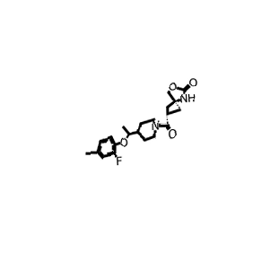 Cc1ccc(OC(C)C2CCN(C(=O)[C@H]3C[C@@]4(COC(=O)N4)C3)CC2)c(F)c1